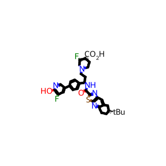 CC(C)(C)[C@H]1CCc2nc3sc(C(=O)NC(CCN4CC[C@@H](C(=O)O)[C@@H](F)C4)c4ccc(-c5cnc(O)c(F)c5)cc4)nc3cc2C1